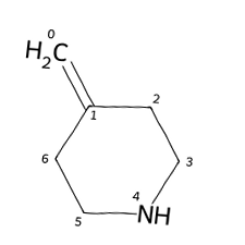 C=C1CCNCC1